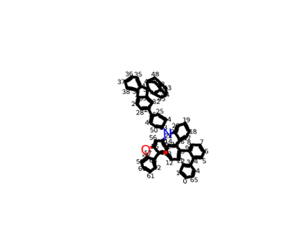 c1ccc(-c2ccccc2-c2ccccc2-c2ccccc2N(c2ccc(-c3ccc4c(c3)C3(c5ccccc5-4)C4CC5CC(C4)CC3C5)cc2)c2ccc3c(c2)oc2ccccc23)cc1